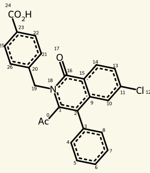 CC(=O)c1c(-c2ccccc2)c2cc(Cl)ccc2c(=O)n1Cc1ccc(C(=O)O)cc1